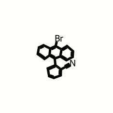 N#Cc1ccccc1-c1c2ccccc2c(Br)c2ccccc12